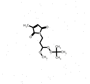 COC(CCN1C(=O)C=C(C)C1=O)OOC(C)(C)C